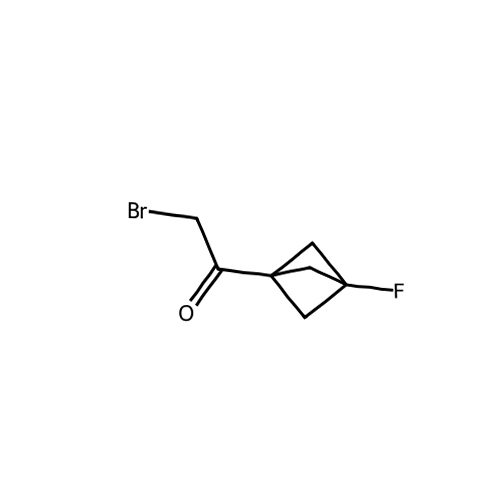 O=C(CBr)C12CC(F)(C1)C2